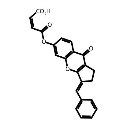 O=C(O)/C=C\C(=O)Oc1ccc2c(=O)c3c(oc2c1)C(=Cc1ccccc1)CC3